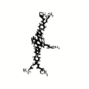 CCCCC(CCCC)C1CCN(c2cc3sc(-c4c5nsnc5c(-c5cc6sc(N7CCC(C(CCCC)CCCC)CC7)cc6s5)c5[nH]c(CCC)nc45)cc3s2)CC1